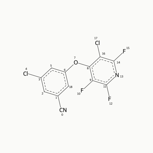 N#Cc1cc(Cl)cc(Oc2c(F)c(F)nc(F)c2Cl)c1